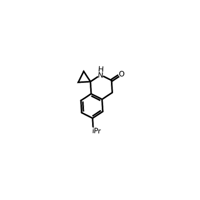 CC(C)c1ccc2c(c1)CC(=O)NC21CC1